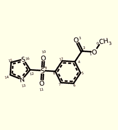 COC(=O)c1cccc(S(=O)(=O)c2nccs2)c1